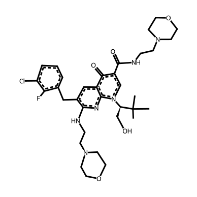 CC(C)(C)[C@@H](CO)n1cc(C(=O)NCCN2CCOCC2)c(=O)c2cc(Cc3cccc(Cl)c3F)c(NCCN3CCOCC3)nc21